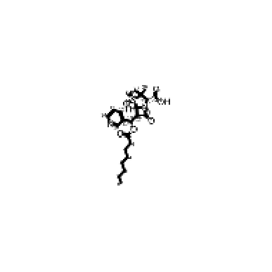 CCCCCCCC(=O)O[C@H](c1cccnc1)[C@@H]1C(=O)N2[C@@H](C(=O)O)C(C)(C)S(=O)(=O)[C@H]12